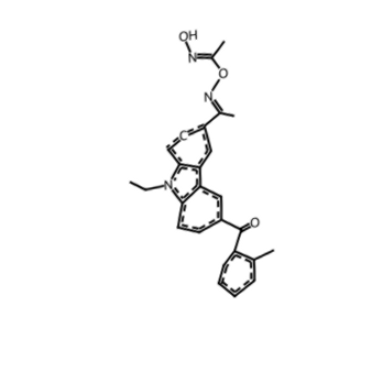 CCn1c2ccc(C(=O)c3ccccc3C)cc2c2cc(C(C)=NOC(C)=NO)ccc21